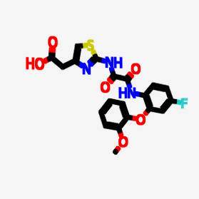 COc1ccccc1Oc1cc(F)ccc1NC(=O)C(=O)Nc1nc(CC(=O)O)cs1